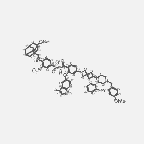 COc1ccc(CN2CCN(C3CC4(C3)CN(c3ccc(C(=O)NS(=O)(=O)c5ccc(NCC67CC8CC(C6)CC(OC)(C8)C7)c([N+](=O)[O-])c5)c(Oc5cnc6[nH]cc(F)c6c5)c3)C4)[C@H](c3ccccc3C(C)C)C2)cc1